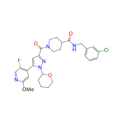 COc1cc(-c2cc(C(=O)N3CCC(C(=O)NCc4cccc(Cl)c4)CC3)nn2C2CCCCO2)c(F)cn1